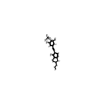 CCCC1CCc2c(ccc(C#Cc3cc(F)c(OC(F)F)c(F)c3)c2F)C1